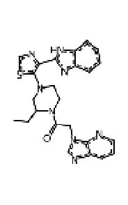 CCC1CN(c2scnc2-c2nc3ccccc3[nH]2)CCN1C(=O)Cn1cnc2cccnc21